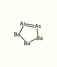 [As]1=[As][Ba][Ba][Ba]1